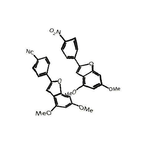 COc1cc(OC)c2cc(-c3ccc(C#N)cc3)oc2c1.COc1cc(OC)c2cc(-c3ccc([N+](=O)[O-])cc3)oc2c1